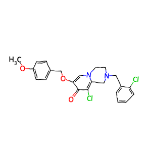 COc1ccc(COc2cn3c(c(Cl)c2=O)CN(Cc2ccccc2Cl)CC3)cc1